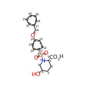 O=C(O)C1CCC(O)CN1S(=O)(=O)c1ccc(OCc2ccccc2)cc1